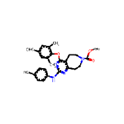 Cc1cc(C=O)cc(C)c1Oc1nc(Nc2ccc(C#N)cc2)nc2c1CCN(C(=O)OC(C)(C)C)CC2